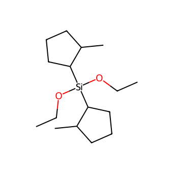 CCO[Si](OCC)(C1CCCC1C)C1CCCC1C